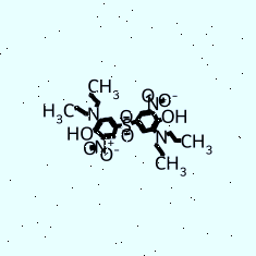 CCCN(CCC)c1cc(S(=O)(=O)c2cc(N(CCC)CCC)c(O)c([N+](=O)[O-])c2)cc([N+](=O)[O-])c1O